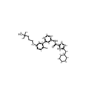 Cc1ccc(OCCCC(C)(C)O)cc1-c1cc(NC(=O)c2nnc(CC3CCCCC3)[nH]2)ncn1